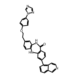 O=C1Nc2cc(CCOc3ccc(-n4cncn4)cc3)ccc2Nc2cc(-c3cccc4cnccc34)ccc21